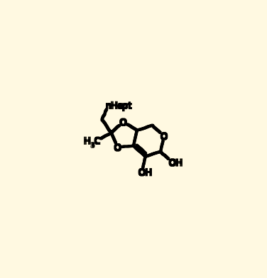 CCCCCCCCC1(C)OC2=C(O)C(O)OCC2O1